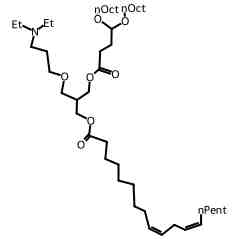 CCCCC/C=C\C/C=C\CCCCCCCC(=O)OCC(COCCCN(CC)CC)COC(=O)CCC(OCCCCCCCC)OCCCCCCCC